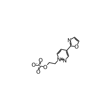 O=S(=O)([O-])OCC[n+]1ccc(-c2ncco2)cn1